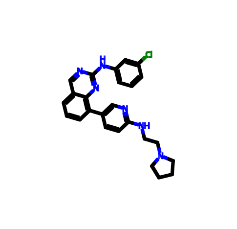 Clc1cccc(Nc2ncc3cccc(-c4ccc(NCCN5CCCC5)nc4)c3n2)c1